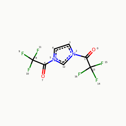 O=C(n1cc[n+](C(=O)C(F)(F)F)c1)C(F)(F)F